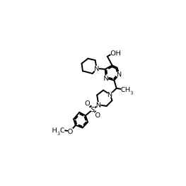 COc1ccc(S(=O)(=O)N2CCN(C(C)c3ncc(CO)c(N4CCCCC4)n3)CC2)cc1